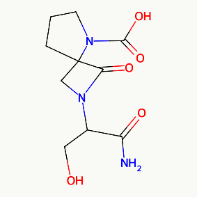 NC(=O)C(CO)N1CC2(CCCN2C(=O)O)C1=O